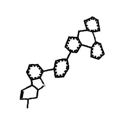 CC1C=CC2c3cccc(-c4cccc(-c5ccc6c(c5)-c5ccccc5-c5ccccc5C6)c4)c3SC2C1